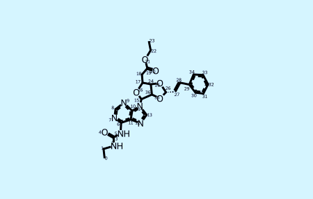 CCNC(=O)Nc1ncnc2c1ncn2C1OC(CC(=O)OCC)C2O[C@H](/C=C/c3ccccc3)OC21